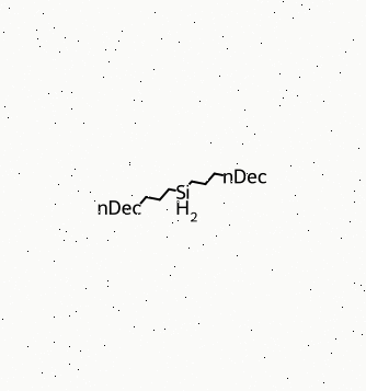 CCCCCCCCCCCCC[SiH2]CCCCCCCCCCCCC